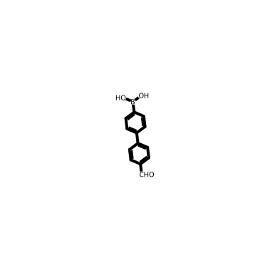 O=Cc1ccc(-c2ccc(B(O)O)cc2)cc1